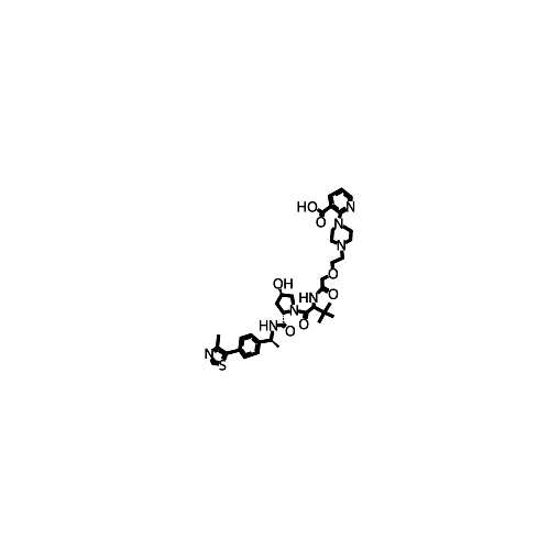 Cc1ncsc1-c1ccc([C@H](C)NC(=O)[C@@H]2C[C@@H](O)CN2C(=O)C(NC(=O)COCCN2CCN(c3ncccc3C(=O)O)CC2)C(C)(C)C)cc1